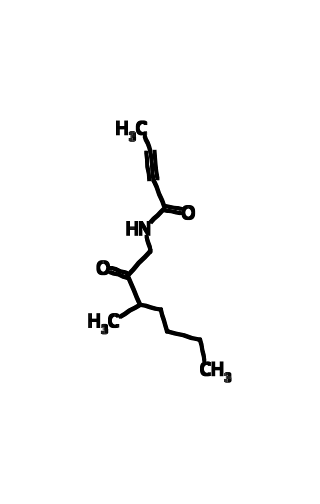 CC#CC(=O)NCC(=O)C(C)CCCC